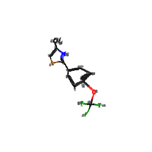 Cc1csc(-c2ccc(OC(F)(F)F)cc2)n1